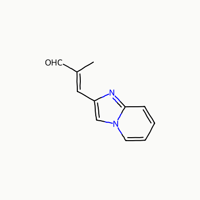 CC(C=O)=Cc1cn2ccccc2n1